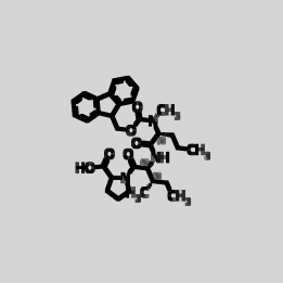 CCC[C@@H](C(=O)N[C@H](C(=O)N1CCCC1C(=O)O)[C@@H](C)CC)N(C)C(=O)OCC1c2ccccc2-c2ccccc21